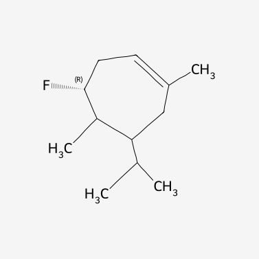 CC1=CC[C@@H](F)C(C)C(C(C)C)C1